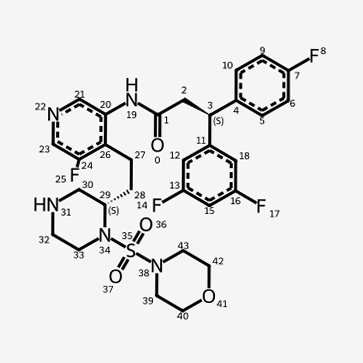 O=C(C[C@@H](c1ccc(F)cc1)c1cc(F)cc(F)c1)Nc1cncc(F)c1CC[C@H]1CNCCN1S(=O)(=O)N1CCOCC1